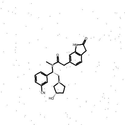 CN(C(=O)Cc1ccc2c(c1)NC(=O)C2)[C@H](CN1CC[C@H](O)C1)c1cccc(C#N)c1